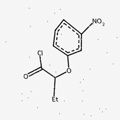 CCC(Oc1cccc([N+](=O)[O-])c1)C(=O)Cl